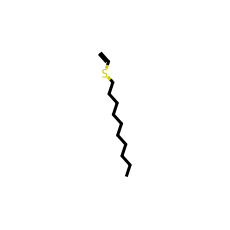 C=CSCCCCCCCCCC